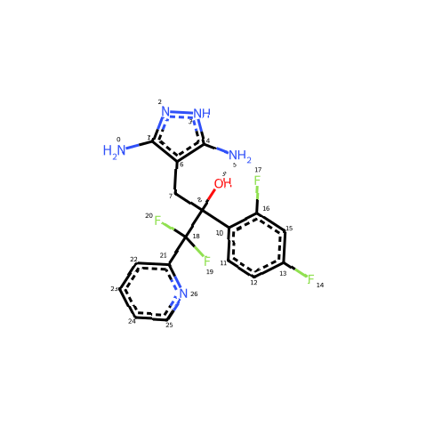 Nc1n[nH]c(N)c1CC(O)(c1ccc(F)cc1F)C(F)(F)c1ccccn1